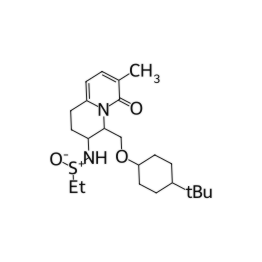 CC[S+]([O-])NC1CCc2ccc(C)c(=O)n2C1COC1CCC(C(C)(C)C)CC1